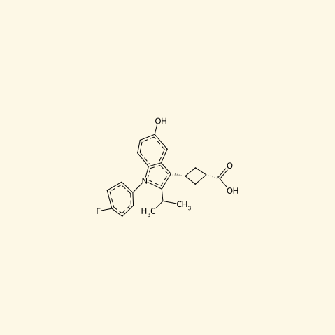 CC(C)c1c([C@H]2C[C@@H](C(=O)O)C2)c2cc(O)ccc2n1-c1ccc(F)cc1